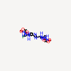 COC(=O)NC(C(=O)N1CCCC1c1ncc(/C=C/c2cnc(-c3ccc4nc(C5CC(F)CN5C(=O)C(NC(=O)OC)C(C)C)[nH]c4c3)cn2)[nH]1)C(C)C